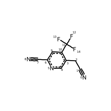 N#CCc1cnc(C#N)cc1C(F)(F)F